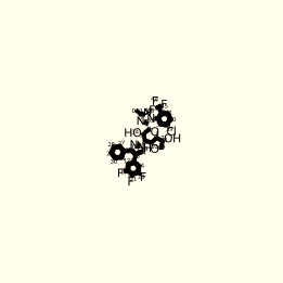 Cc1nc([C@@H]2OC3C(O)CO[C@@H]3C(n3cc(-c4cc(F)c(F)c(F)c4)c(-c4ccccc4)n3)[C@@H]2O)n(-c2cc(Cl)ccc2C(F)(F)F)n1